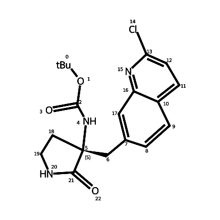 CC(C)(C)OC(=O)N[C@@]1(Cc2ccc3ccc(Cl)nc3c2)CCNC1=O